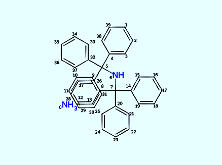 N.c1ccc(C(NC(c2ccccc2)(c2ccccc2)c2ccccc2)(c2ccccc2)c2ccccc2)cc1